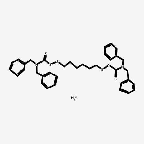 S.S=C(SSCCCCCCSSC(=S)N(Cc1ccccc1)Cc1ccccc1)N(Cc1ccccc1)Cc1ccccc1